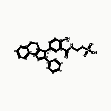 O=C(NCCS(=O)(=O)O)c1cc(-n2c(-c3ccccc3)cc3c2CCc2ccccc2-3)ccc1O